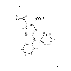 CCOC(=O)c1cc(N(c2ccccc2)c2ccccc2)ccc1OCC